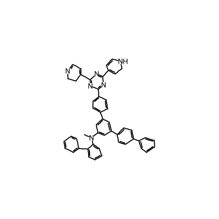 CN(c1cc(-c2ccc(-c3ccccc3)cc2)cc(-c2ccc(-c3nc(C4=CCNC=C4)nc(C4=CC=NCC4)n3)cc2)c1)c1ccccc1-c1ccccc1